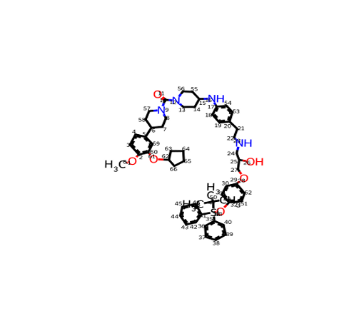 COc1ccc(C2CCN(C(=O)N3CCC(Nc4ccc(CCNCC(O)COc5ccc(O[Si](c6ccccc6)(c6ccccc6)C(C)(C)C)cc5)cc4)CC3)CC2)cc1OC1CCCC1